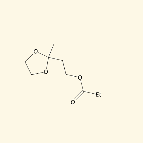 CCC(=O)OCCC1(C)OCCO1